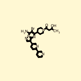 CC(O)CC(=O)N1CCC(c2nc3c(-c4ccc(-c5cccnc5)nc4)cnn3c(N)c2Br)CC1